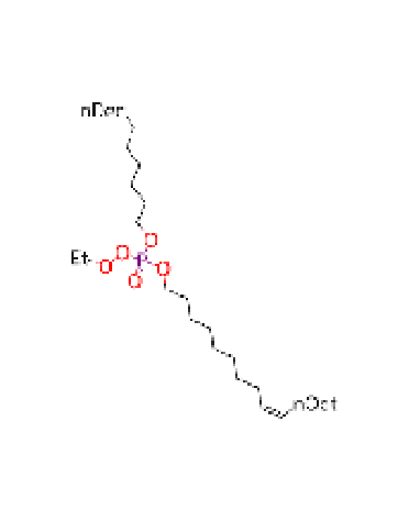 CCCCCCCC/C=C\CCCCCCCCOP(=O)(OCCCCCCCCCCCCCCCC)OOCC